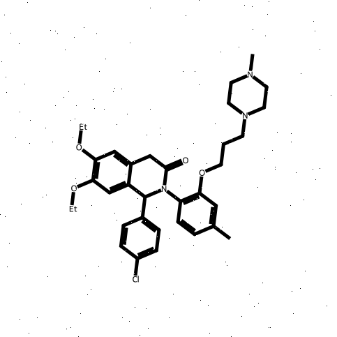 CCOc1cc2c(cc1OCC)C(c1ccc(Cl)cc1)N(c1ccc(C)cc1OCCCN1CCN(C)CC1)C(=O)C2